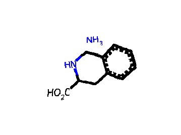 N.O=C(O)C1Cc2ccccc2CN1